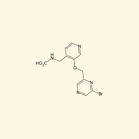 O=C(O)NCc1ccncc1OCc1cncc(Br)n1